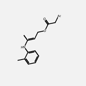 CC(=O)CC(=O)OCC=C(C)Nc1ccccc1C